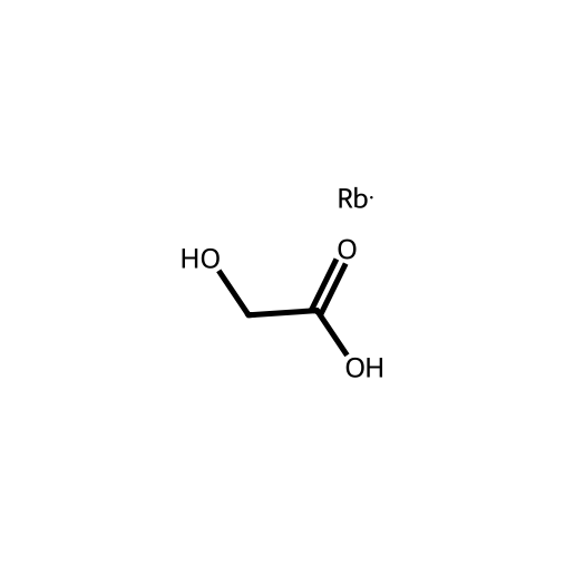 O=C(O)CO.[Rb]